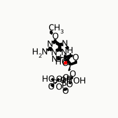 CCOc1nc(N)nc2c1ncn2[C@]1(C#N)O[C@@]2(COP(=O)(O)OP(=O)(O)OP(=O)(O)O)CO[C@@H]1[C@@H]2O